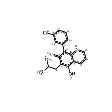 CC(O)Cc1c(O)c2cccnc2n(-c2cccc(Cl)c2)c1=O